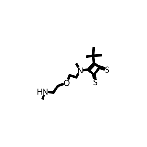 CNCCOCCN(C)c1c(C(C)(C)C)c(=S)c1=S